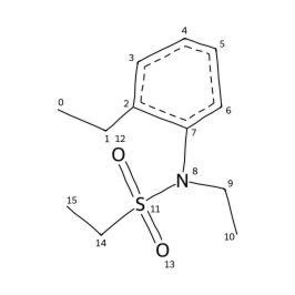 CCc1ccccc1N(CC)S(=O)(=O)CC